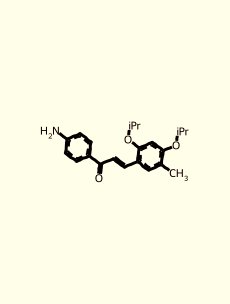 Cc1cc(C=CC(=O)c2ccc(N)cc2)c(OC(C)C)cc1OC(C)C